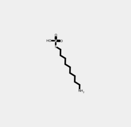 NCCCCCCCCCSS(=O)(=O)O